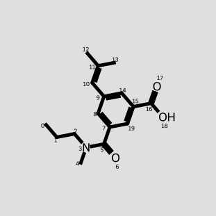 CCCN(C)C(=O)c1cc(C=C(C)C)cc(C(=O)O)c1